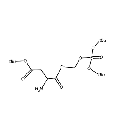 CC(C)(C)OC(=O)CC(N)C(=O)OCOP(=O)(OC(C)(C)C)OC(C)(C)C